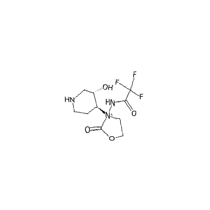 O=C(N[N+]1([C@H]2CCNC[C@@H]2O)CCOC1=O)C(F)(F)F